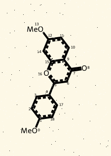 COc1ccc(-c2cc(=O)c3ccc(OC)cc3o2)cc1